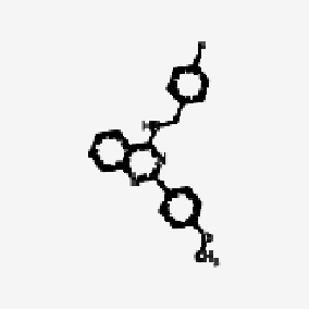 COc1ccc(-c2nc(NCc3ccc(F)cc3)c3ccccc3n2)cc1